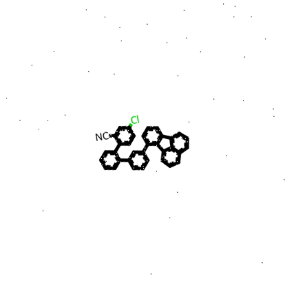 N#Cc1cc(Cl)ccc1-c1ccccc1-c1cccc(-c2cccc3c2-c2cccc4cccc-3c24)c1